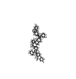 CC1(C)c2ccccc2-c2ccc(N(c3ccccc3)c3ccc4c(c3)C(C)(C)c3cccc5c3c-4cc3ccc(N(c4ccccc4)c4ccc6oc7ccccc7c6c4)cc35)cc21